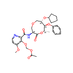 COc1ccnc(C(=O)N[C@H]2COC[C@H](OC3CCCC3)[C@@H](Oc3ccccc3)[C@H](C)OC2=O)c1OCOC(C)=O